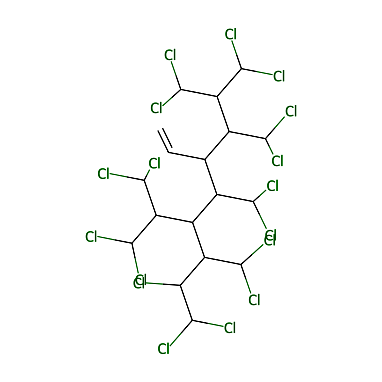 C=CC(C(C(Cl)Cl)C(C(Cl)Cl)C(Cl)Cl)C(C(Cl)Cl)C(C(C(Cl)Cl)C(Cl)Cl)C(C(Cl)Cl)C(Cl)C(Cl)Cl